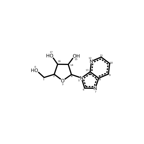 OCC1OC(n2cnc3cccnc32)C(O)C1O